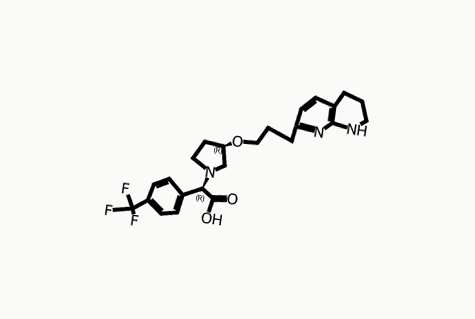 O=C(O)[C@@H](c1ccc(C(F)(F)F)cc1)N1CC[C@@H](OCCCc2ccc3c(n2)NCCC3)C1